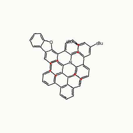 CC(C)(C)c1cc(-c2ccccc2N(c2ccccc2-c2cccc3c2oc2ccccc23)c2ccccc2-c2cccc3cccc(-c4ccccc4)c23)cc(C(C)(C)C)c1